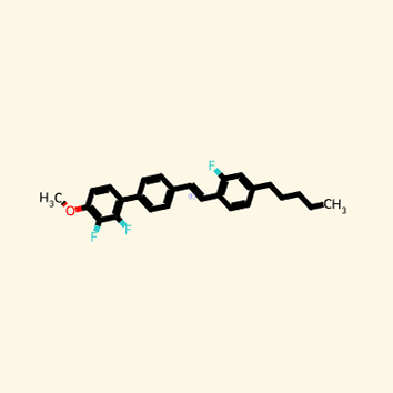 CCCCCc1ccc(/C=C/c2ccc(-c3ccc(OC)c(F)c3F)cc2)c(F)c1